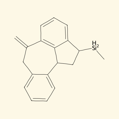 C=C1Cc2ccccc2C2CC([SiH2]C)c3cccc1c32